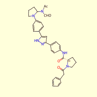 CC(=O)N(C=O)C1CCCN1c1ccc(-c2cc(-c3ccc(NC(=O)[C@@H]4CCCN4C(=O)Cc4ccccc4)cc3)n[nH]2)cc1